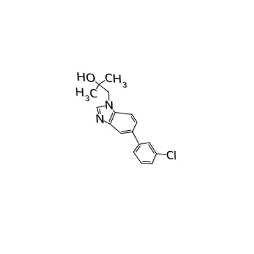 CC(C)(O)Cn1cnc2cc(-c3cccc(Cl)c3)ccc21